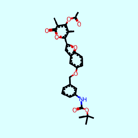 CC(=O)Oc1c(C)c(-c2cc3cc(OCc4cccc(NC(=O)OC(C)(C)C)c4)ccc3o2)oc(=O)c1C